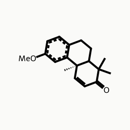 COc1ccc2c(c1)[C@]1(C)C=CC(=O)C(C)(C)C1CC2